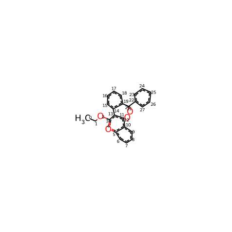 CCOc1oc2ccccc2c(=O)c1-c1ccccc1C(=O)c1ccccc1